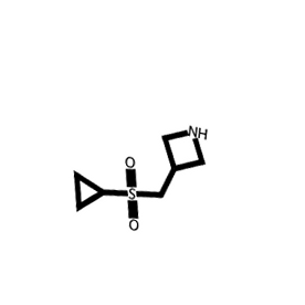 O=S(=O)(CC1CNC1)C1CC1